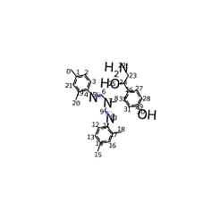 Cc1ccc(/N=C/N(C)/C=N/c2ccc(C)cc2C)c(C)c1.NCC(O)c1ccc(O)cc1